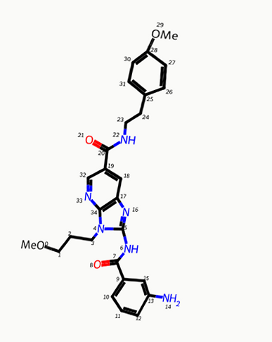 COCCCn1c(NC(=O)c2cccc(N)c2)nc2cc(C(=O)NCCc3ccc(OC)cc3)cnc21